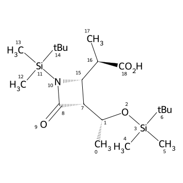 C[C@@H](O[Si](C)(C)C(C)(C)C)[C@@H]1C(=O)N([Si](C)(C)C(C)(C)C)[C@@H]1[C@@H](C)C(=O)O